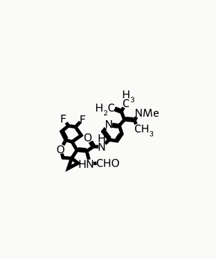 C=C(C)/C(=C(/C)NC)c1ccc(NC(=O)/C(NC=O)=C2\C3CC(F)C(F)C=C3OCC23CC3)cn1